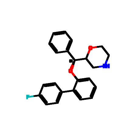 Fc1ccc(-c2ccccc2O[C@@H](c2ccccc2)C2CNCCO2)cc1